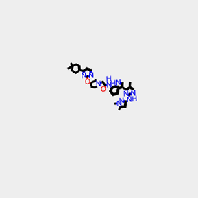 Cc1cnc(Nc2cc(C)n(C)n2)nc1-c1c[nH]c2c(NC(=O)CN3CCC(Oc4nccc(C5=CCC(C)(C)CC5)n4)C3)cccc12